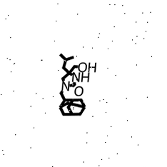 CC(C)CC1(CO)CN(CC2C3CC4CC(C3)CC2C4)C(=O)N1